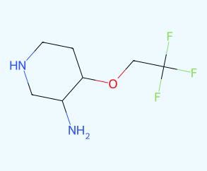 NC1CNCCC1OCC(F)(F)F